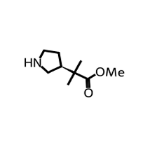 COC(=O)C(C)(C)[C@@H]1CCNC1